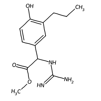 CCCc1cc(C(NC(=N)N)C(=O)OC)ccc1O